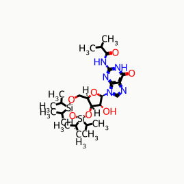 CC(C)C(=O)Nc1nc2c(ncn2[C@@H]2O[C@@H]3CO[Si](C(C)C)(C(C)C)O[Si](C(C)C)(C(C)C)O[C@H]3[C@@H]2O)c(=O)[nH]1